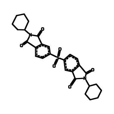 O=C1c2ccc(S(=O)(=O)c3ccc4c(c3)C(=O)N(C3CCCCC3)C4=O)cc2C(=O)N1C1CCCCC1